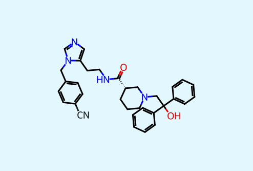 N#Cc1ccc(Cn2cncc2CCNC(=O)[C@H]2CCCN(CC(O)(c3ccccc3)c3ccccc3)C2)cc1